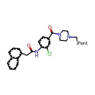 CCCC(C)CN1CCN(C(=O)c2ccc(NC(=O)Cc3cccc4ccccc34)c(Cl)c2)CC1